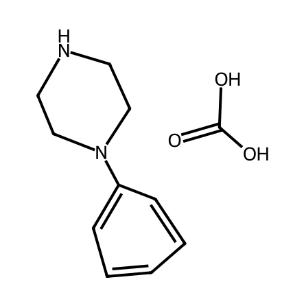 O=C(O)O.c1ccc(N2CCNCC2)cc1